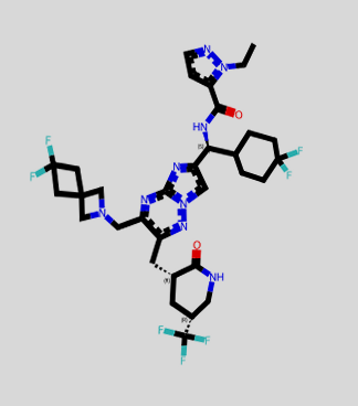 CCn1nccc1C(=O)N[C@H](c1cn2nc(C[C@H]3C[C@@H](C(F)(F)F)CNC3=O)c(CN3CC4(C3)CC(F)(F)C4)nc2n1)C1CCC(F)(F)CC1